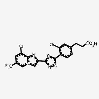 O=C(O)CCc1ccc(-c2nnc(-c3cn4cc(C(F)(F)F)cc(Cl)c4n3)o2)c(Cl)c1